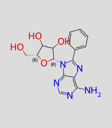 Nc1ncnc2c1nc(-c1ccccc1)n2[C@@H]1O[C@H](CO)C(O)C1O